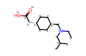 CCN(CC(C)C)C[C@H]1CC[C@H](CC(=O)O)CC1